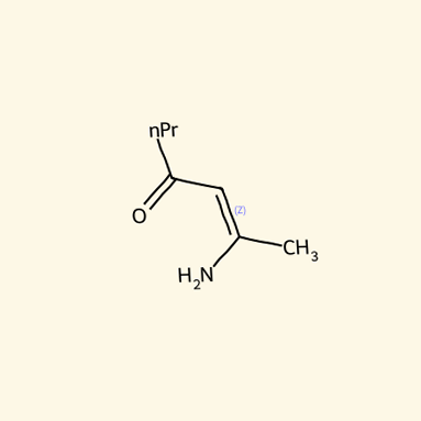 CCCC(=O)/C=C(/C)N